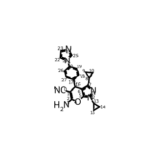 N#CC1=C(N)Oc2c(c(C3CC3)nn2C2CC2)C1c1ccc(-n2ccnc2)cc1